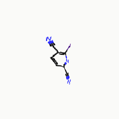 N#Cc1ccc(C#N)c(I)n1